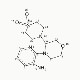 Nc1cccnc1N1CCOCC1N1CCS(=O)(=O)CC1